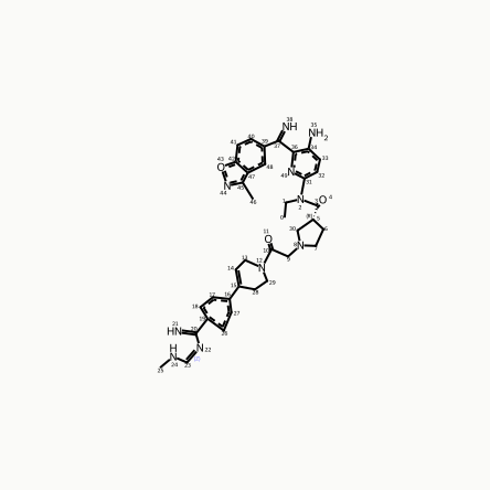 CCN(C(=O)[C@@H]1CCN(CC(=O)N2CC=C(c3ccc(C(=N)/N=C\NC)cc3)CC2)C1)c1ccc(N)c(C(=N)c2ccc3onc(C)c3c2)n1